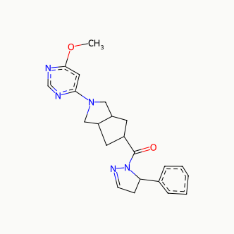 COc1cc(N2CC3CC(C(=O)N4N=CCC4c4ccccc4)CC3C2)ncn1